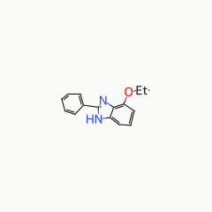 C[CH]Oc1cccc2[nH]c(-c3ccccc3)nc12